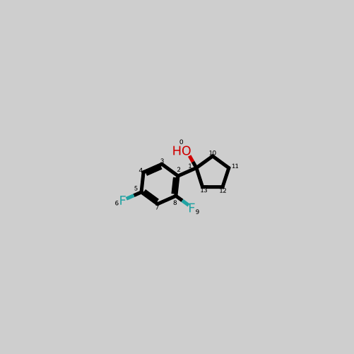 OC1(c2ccc(F)cc2F)CCCC1